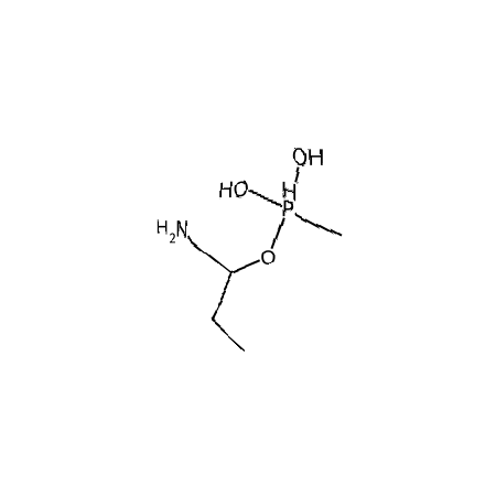 CCC(N)O[PH](C)(O)O